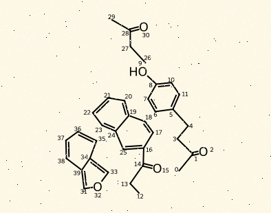 CC(=O)CCc1ccc(O)cc1.CCC(=O)c1ccc2ccccc2c1.CCC(C)=O.[c]1occ2ccccc12